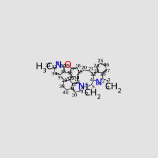 C=CC1=NC2CC(=C)[n+]3ccc4c(c3-c3cc5c(cc3CCC2c2ccccc21)oc1nc(C)ccc15)CCCC4